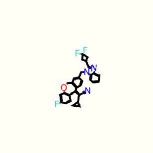 N#CC(=C1c2ccc(Cn3c(C4CC(F)(F)C4)nc4ccccc43)cc2COc2cc(F)ccc21)C1CC1